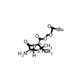 CC(C)(C)C(=O)OCOC(=O)[C@@H]1N2C(=O)[C@H](N)[C@H]2SC1(C)C.Cl